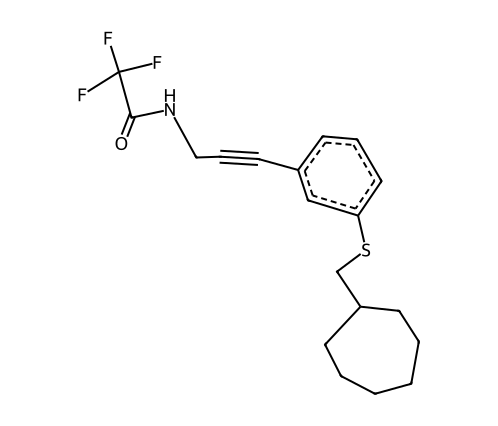 O=C(NCC#Cc1cccc(SCC2CCCCCC2)c1)C(F)(F)F